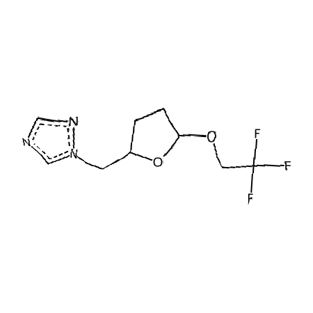 FC(F)(F)COC1CCC(Cn2cncn2)O1